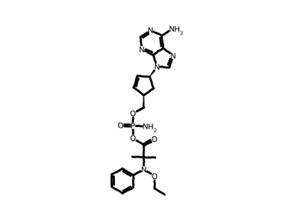 CCON(c1ccccc1)C(C)(C)C(=O)OP(N)(=O)OC[C@H]1C=C[C@@H](n2cnc3c(N)ncnc32)C1